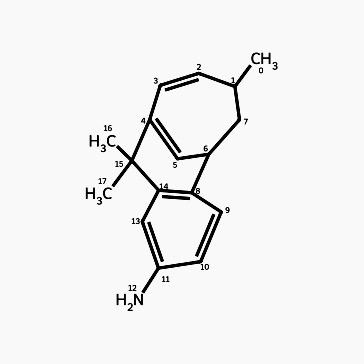 CC1C=CC2=CC(C1)c1ccc(N)cc1C2(C)C